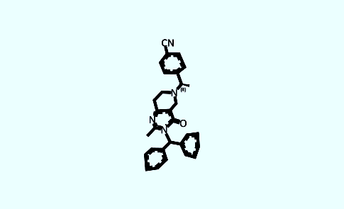 Cc1nc2c(c(=O)n1C(c1ccccc1)c1ccccc1)CN([C@H](C)c1ccc(C#N)cc1)CC2